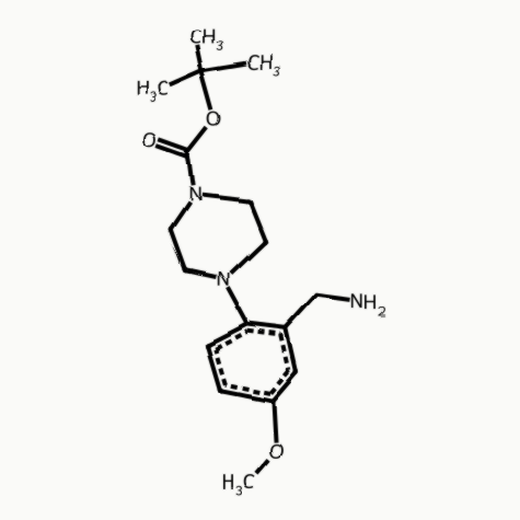 COc1ccc(N2CCN(C(=O)OC(C)(C)C)CC2)c(CN)c1